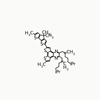 Cc1cc2c(s1)-c1sc(-c3cc4c5nc(C[C@H](C)CCCC(C)C)c(C[C@H](C)CCCC(C)C)nc5c5cc(C)sc5c4s3)cc1C2(C)C